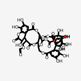 O=COCC1C(=O)OC2C3COC(=O)c4cc(O)c(O)c(O)c4-c4c(cc(O)c(O)c4O)C(=O)COC2C(OC(=O)c2cc(O)c(O)c4c2C1C(O)C(=O)O4)C(OC(=O)c1cc(O)c(O)c(O)c1)O3